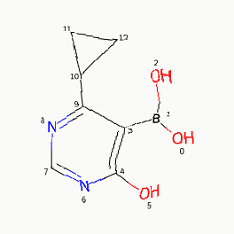 OB(O)c1c(O)ncnc1C1CC1